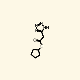 O=C(Cc1nnn[nH]1)OC1CCCC1